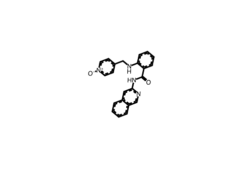 O=C(Nc1cc2ccccc2cn1)c1ccccc1NCc1cc[n+]([O-])cc1